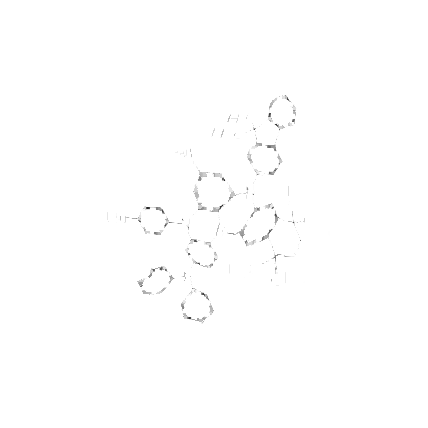 CC(C)(C)c1ccc(N2c3cc(N(c4ccccc4)c4ccccc4)ccc3B3c4cc5c(cc4N(c4ccc6c(c4)C(C)(C)c4ccccc4-6)c4cc(C(C)(C)C)cc2c43)C(C)(C)CCC5(C)C)cc1